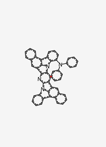 c1ccc(N(c2ccccc2)c2cccc3c4c5ccccc5cc5c6nc7c(cc6n(c23)c54)c2cc3ccccc3c3c4ccccc4n7c23)cc1